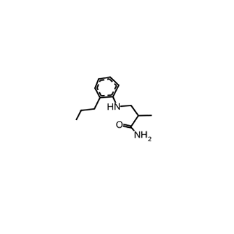 CCCc1ccccc1NCC(C)C(N)=O